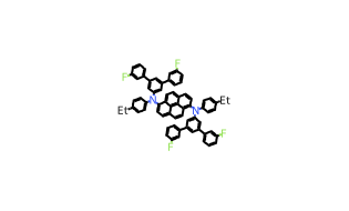 CCc1ccc(N(c2cc(-c3cccc(F)c3)cc(-c3cccc(F)c3)c2)c2ccc3ccc4c(N(c5ccc(CC)cc5)c5cc(-c6cccc(F)c6)cc(-c6cccc(F)c6)c5)ccc5ccc2c3c54)cc1